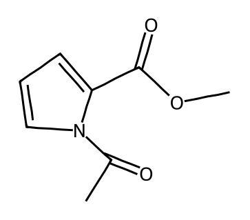 COC(=O)c1cccn1C(C)=O